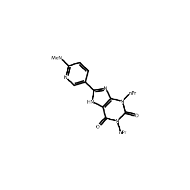 CCCn1c(=O)c2[nH]c(-c3ccc(NC)nc3)nc2n(CCC)c1=O